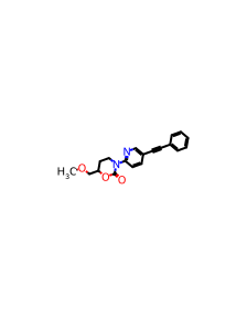 COCC1CCN(c2ccc(C#Cc3ccccc3)cn2)C(=O)O1